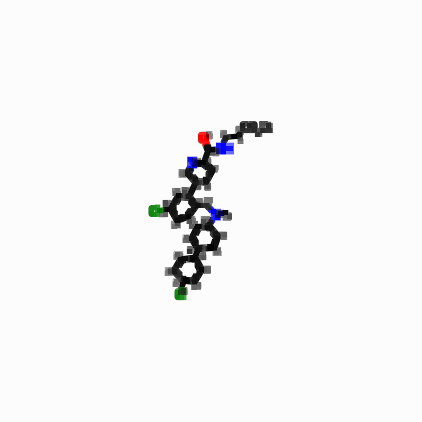 CCOC(=O)CCNC(=O)c1ccc(-c2cc(Cl)ccc2CN(C)c2ccc(-c3ccc(Cl)cc3)cc2)cn1